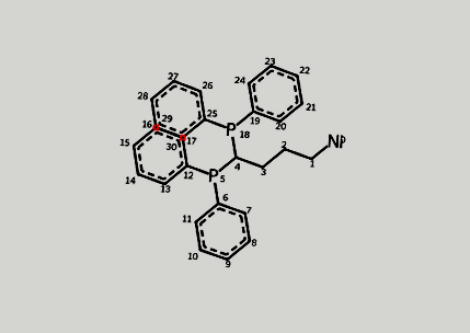 [Ni][CH2]CCC(P(c1ccccc1)c1ccccc1)P(c1ccccc1)c1ccccc1